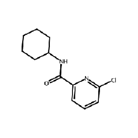 O=C(NC1CCCCC1)c1cccc(Cl)n1